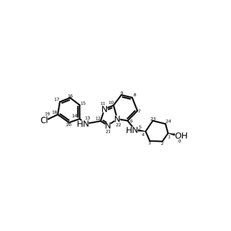 O[C@H]1CC[C@@H](Nc2cccc3nc(Nc4cccc(Cl)c4)nn23)CC1